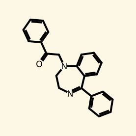 O=C(CN1CCN=C(c2ccccc2)c2ccccc21)c1ccccc1